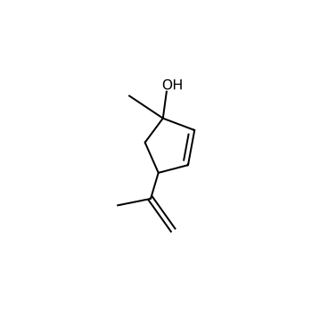 C=C(C)C1C=CC(C)(O)C1